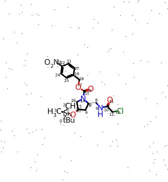 CC(C)(C)[Si](C)(C)O[C@@H]1C[C@@H](CNC(=O)CCl)N(C(=O)OCc2ccc([N+](=O)[O-])cc2)C1